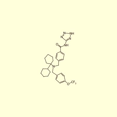 O=C(Nc1nn[nH]n1)c1ccc(CN(Cc2ccc(OC(F)(F)F)cc2)C2(C3CCCCC3)CCCCC2)cc1